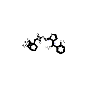 C/C(=C1/C=CS/C1=N\OS(=O)(=O)CC12CCC(CC1=O)C2(C)C)c1ccccc1C